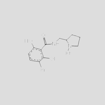 CCN1CCCC1CNC(=O)c1c(O)ccc(Br)c1O